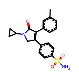 Cc1cccc(C2=C(c3ccc(S(N)(=O)=O)cc3)CN(C3CC3)C2=O)c1